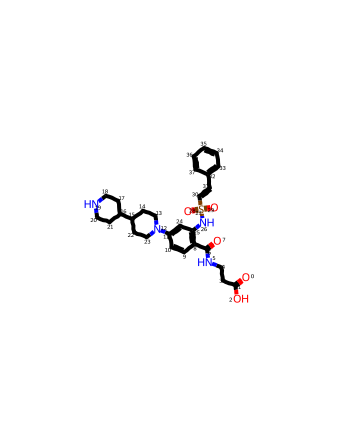 O=C(O)CCNC(=O)c1ccc(N2CCC(C3CCNCC3)CC2)cc1NS(=O)(=O)/C=C/c1ccccc1